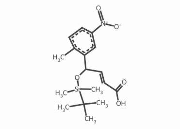 Cc1ccc([N+](=O)[O-])cc1C(C=CC(=O)O)O[Si](C)(C)C(C)(C)C